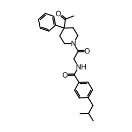 CC(=O)C1(c2ccccc2)CCN(C(=O)CNC(=O)c2ccc(CC(C)C)cc2)CC1